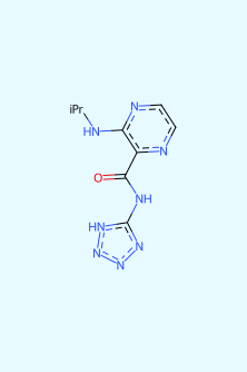 CC(C)Nc1nccnc1C(=O)Nc1nnn[nH]1